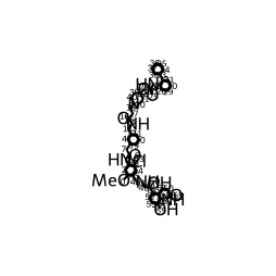 COc1cc(NC(=O)Cc2cccc(CNC(=O)CCN3CCC(OC(=O)Nc4ccccc4-c4ccccc4)CC3)c2)c(Cl)cc1CNC[C@@H](O)c1ccc(O)c2[nH]c(=O)ccc12